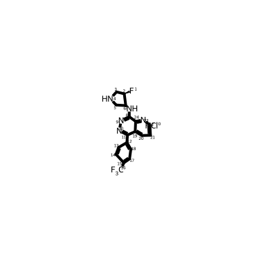 Cl.F[C@@H]1CNC[C@H]1Nc1nnc(-c2ccc(C(F)(F)F)cc2)c2cccnc12